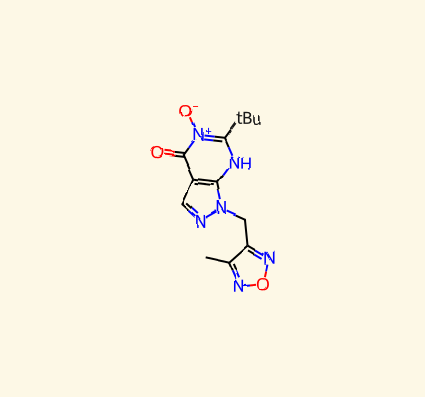 Cc1nonc1Cn1ncc2c(=O)[n+]([O-])c(C(C)(C)C)[nH]c21